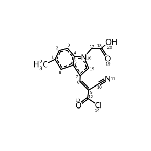 Cc1ccc2c(c1)c(/C=C(\C#N)C(=O)Cl)cn2CC(=O)O